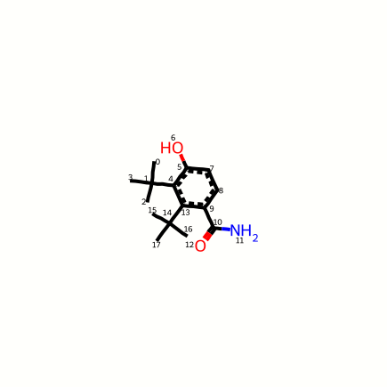 CC(C)(C)c1c(O)ccc(C(N)=O)c1C(C)(C)C